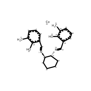 Cc1cccc(C=N[C@@H]2CCCC[C@H]2N=Cc2cccc(C)c2O)c1O.[Co]